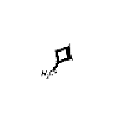 [CH2]C1[CH]C=C1